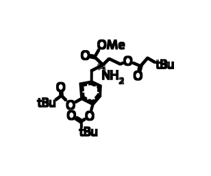 COC(=O)[C@@](N)(CCOC(=O)CC(C)(C)C)Cc1ccc(OC(=O)C(C)(C)C)c(OC(=O)C(C)(C)C)c1